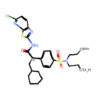 COCCN(CCC(=O)O)S(=O)(=O)c1ccc([C@@H](CC2CCCCC2)C(=O)Nc2nc3ccc(Cl)nc3s2)cc1